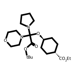 CCOC(=O)[C@H]1CC[C@H](OC(C(=O)OC(C)(C)C)(N2CCCC2)N2CCOCC2)CC1